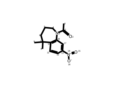 CC(=O)N1CCCC(C)(C)c2ccc([N+](=O)[O-])cc21